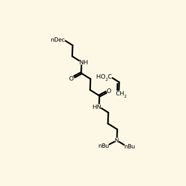 C=CC(=O)O.CCCCCCCCCCCCNC(=O)CCC(=O)NCCCN(CCCC)CCCC